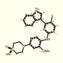 COc1cc(N2CCS(=N)(=O)CC2)ccc1Nc1ncc(C)c(-c2c[nH]c3ccccc23)n1